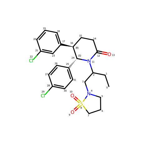 CCC(CN1CCCS1(=O)=O)N1C(=O)CC[C@H](c2cccc(Cl)c2)[C@H]1c1ccc(Cl)cc1